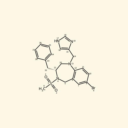 CS(=O)(=O)N1Cc2cc(Br)ccc2N(Cc2c[nH]cn2)C[C@H]1Cc1ccccc1